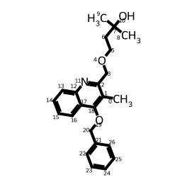 Cc1c(COCCC(C)(C)O)nc2ccccc2c1OCc1ccccc1